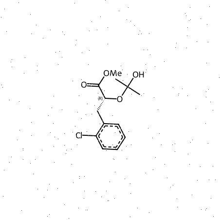 COC(=O)[C@@H](Cc1ccccc1Cl)OC(C)(C)O